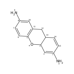 NC1=CC2Oc3ccc(N)cc3CC2C=C1